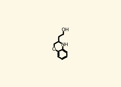 OCCC1COc2ccccc2N1